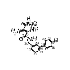 C=C1NC(=O)NC(C(=O)NCc2cccc(-c3ccc(Cl)cc3)c2)=C1N